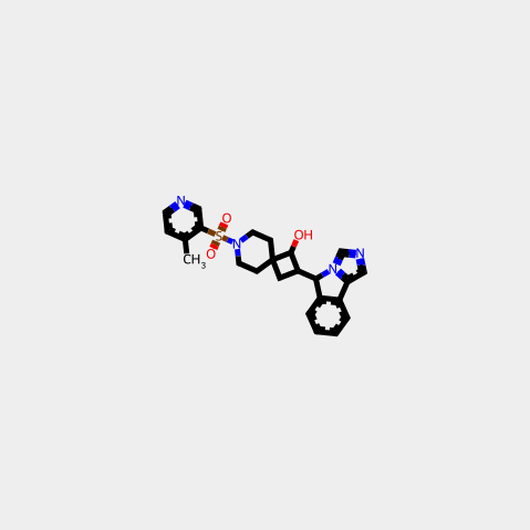 Cc1ccncc1S(=O)(=O)N1CCC2(CC1)CC(C1c3ccccc3-c3cncn31)C2O